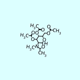 CC(=O)OCC1O[C@H]2OC(C)N(C)C2C(OC(C)=O)[C@H]1OC(C)=O